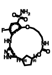 NS(=O)(=O)c1cc(F)c2cc1OCCCNC(=O)O[C@@H]1CC[C@@H](C1)c1cc(n[nH]1)N2